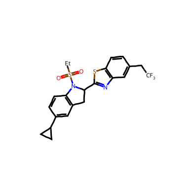 CCS(=O)(=O)N1c2ccc(C3CC3)cc2CC1c1nc2cc(CC(F)(F)F)ccc2s1